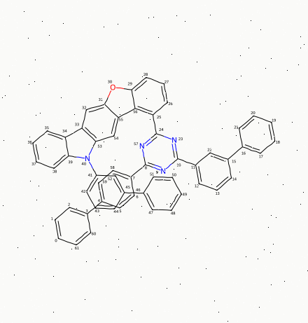 c1ccc(-c2ccc(-c3nc(-c4cccc(-c5ccccc5)c4)nc(-c4cccc5oc6cc7c8ccccc8n(-c8cccc(-c9ccccc9)c8)c7cc6c45)n3)cc2)cc1